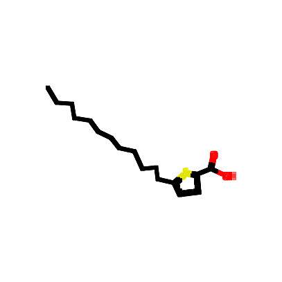 CCCCCCCCCCCCc1ccc(C(=O)O)s1